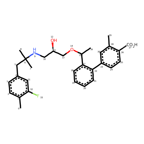 Cc1ccc(CC(C)(C)NC[C@@H](O)COC(C)c2ccccc2-c2ccc(C(=O)O)c(C)c2)cc1F